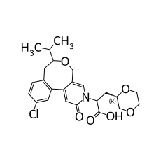 CC(C)C1Cc2ccc(Cl)cc2-c2cc(=O)n(C(C[C@@H]3COCCO3)C(=O)O)cc2CO1